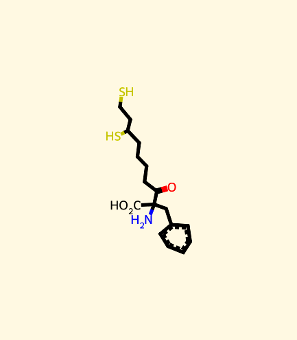 NC(Cc1ccccc1)(C(=O)O)C(=O)CCCCC(S)CCS